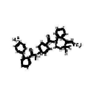 Cc1ccc(-c2ccccc2C(=O)Nc2ccc(C(=O)N3CCC(F)(F)C(=CC(=O)O)c4ccccc43)cc2)cc1